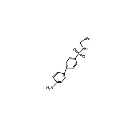 CC(C)CNS(=O)(=O)c1ccc(-c2ccc(N)cc2)cc1